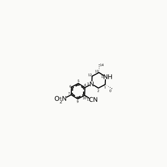 C[C@@H]1CN(c2ccc([N+](=O)[O-])cc2C#N)C[C@H](C)N1